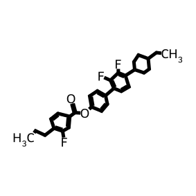 CCCc1ccc(C(=O)Oc2ccc(-c3ccc(C4CCC(CC)CC4)c(F)c3F)cc2)cc1F